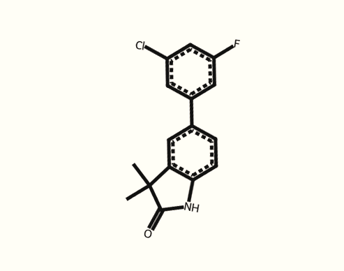 CC1(C)C(=O)Nc2ccc(-c3cc(F)cc(Cl)c3)cc21